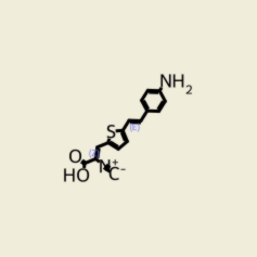 [C-]#[N+]/C(=C\c1ccc(/C=C/c2ccc(N)cc2)s1)C(=O)O